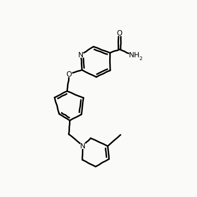 CC1=CCCN(Cc2ccc(Oc3ccc(C(N)=O)cn3)cc2)C1